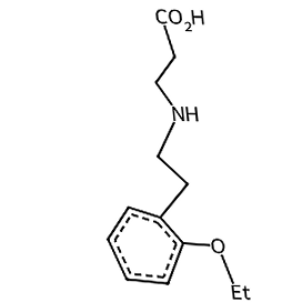 CCOc1ccccc1CCNCCC(=O)O